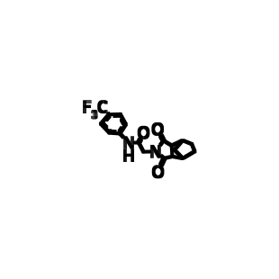 O=C(CN1C(=O)C2C3CCC(C3)C2C1=O)Nc1ccc(C(F)(F)F)cc1